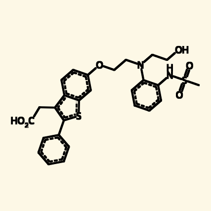 CS(=O)(=O)Nc1ccccc1N(CCO)CCOc1ccc2c(CC(=O)O)c(-c3ccccc3)sc2c1